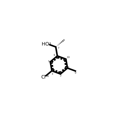 Cc1cc(Cl)cc([C@@H](C)O)c1